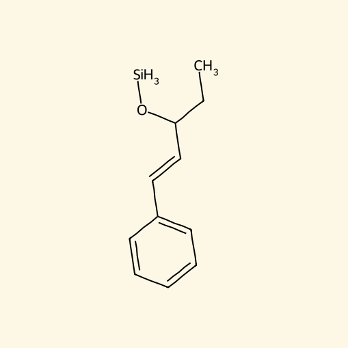 CCC(C=Cc1ccccc1)O[SiH3]